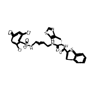 O=C(N[C@@H](Cc1cscn1)C(=O)NCCCCNS(=O)(=O)c1c(Cl)cc(Cl)cc1Cl)c1cc2ccccc2s1